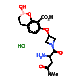 CNC(=O)C[C@@H](N)C(=O)N1CC(Oc2ccc3c(c2C(=O)O)OB(O)CC3)C1.Cl